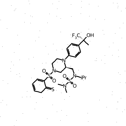 CC(C)N(C[C@H]1CN(S(=O)(=O)C2=CC=CCC2=S)CCN1c1ccc([C@](C)(O)C(F)(F)F)cc1)S(=O)(=O)N(C)C